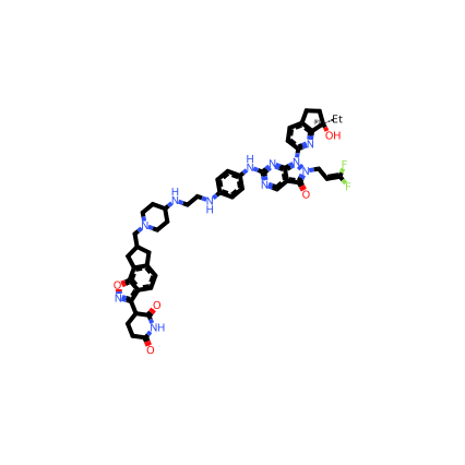 CC[C@@]1(O)CCc2ccc(-n3c4nc(Nc5ccc(NCCNC6CCN(CC7Cc8ccc9c(C%10CCC(=O)NC%10=O)noc9c8C7)CC6)cc5)ncc4c(=O)n3CC=C(F)F)nc21